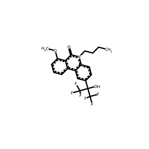 CCCCn1c(=O)c2c(OC)cccc2c2cc(C(O)(C(F)(F)F)C(F)(F)F)ccc21